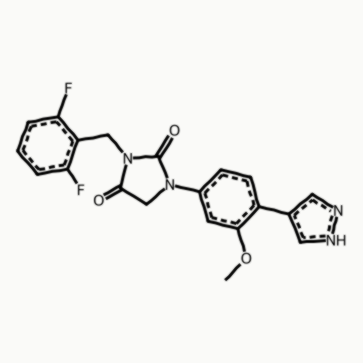 COc1cc(N2CC(=O)N(Cc3c(F)cccc3F)C2=O)ccc1-c1cn[nH]c1